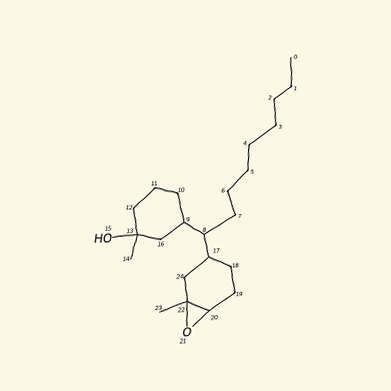 CCCCCCCCC(C1CCCC(C)(O)C1)C1CCC2OC2(C)C1